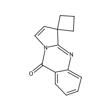 O=c1c2ccccc2nc2n1C=CC21CCC1